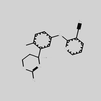 C[C@@]1(c2cc(Nc3ncccc3C#N)ccc2F)CCOC(N)=N1